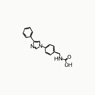 O=C(O)NCc1ccc(-n2cnc(-c3ccccc3)c2)cc1